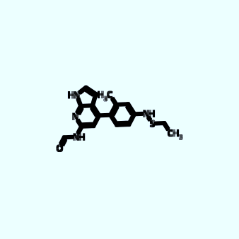 CCSNc1ccc(-c2cc(NC=O)nc3[nH]ccc23)c(C)c1